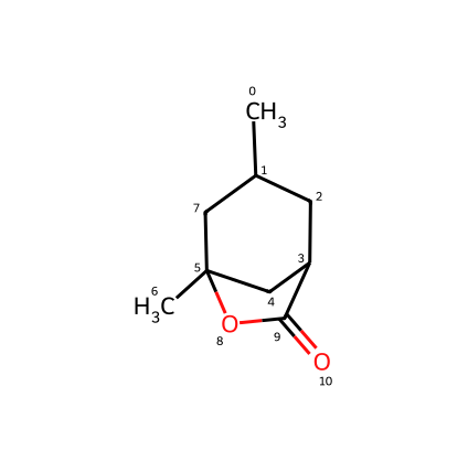 CC1CC2CC(C)(C1)OC2=O